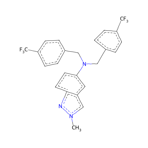 Cn1cc2cc(N(Cc3ccc(C(F)(F)F)cc3)Cc3ccc(C(F)(F)F)cc3)ccc2n1